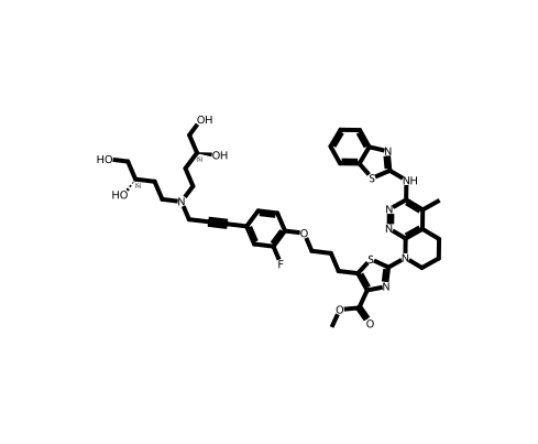 COC(=O)c1nc(N2CCCc3c2nnc(Nc2nc4ccccc4s2)c3C)sc1CCCOc1ccc(C#CCN(CC[C@H](O)CO)CC[C@H](O)CO)cc1F